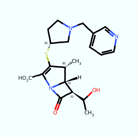 CC(O)[C@H]1C(=O)N2C(C(=O)O)=C(S[C@@H]3CCN(Cc4cccnc4)C3)[C@H](C)[C@H]12